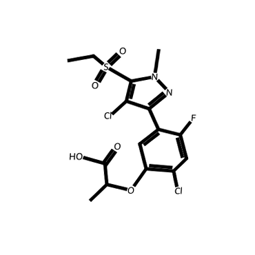 CCS(=O)(=O)c1c(Cl)c(-c2cc(OC(C)C(=O)O)c(Cl)cc2F)nn1C